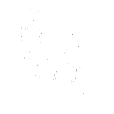 CN(C)c1ccc(Nc2ncc3cc(OC(F)F)c(=O)n([C@@H]4CCC[C@@]4(C)O)c3n2)cn1